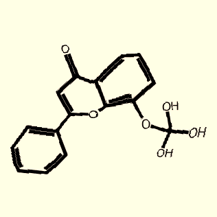 O=c1cc(-c2ccccc2)oc2c(OC(O)(O)O)cccc12